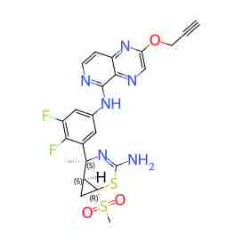 C#CCOc1cnc2c(Nc3cc(F)c(F)c([C@@]4(C)N=C(N)S[C@@]5(S(C)(=O)=O)C[C@H]54)c3)nccc2n1